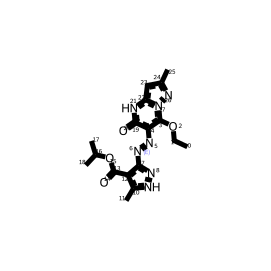 CCOc1c(/N=N/c2n[nH]c(C)c2C(=O)OC(C)C)c(=O)[nH]c2cc(C)nn12